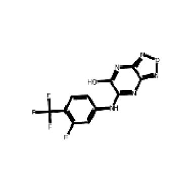 Oc1nc2nonc2nc1Nc1ccc(C(F)(F)F)c(F)c1